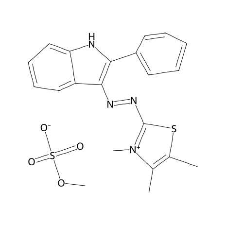 COS(=O)(=O)[O-].Cc1sc(N=Nc2c(-c3ccccc3)[nH]c3ccccc23)[n+](C)c1C